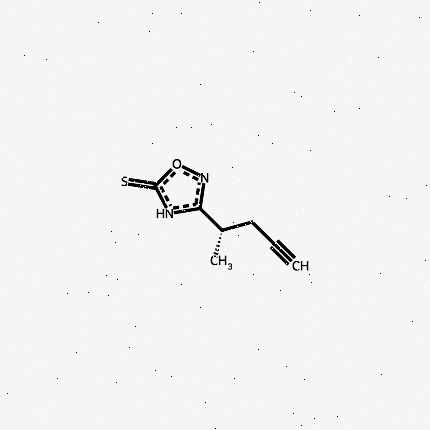 C#CC[C@H](C)c1noc(=S)[nH]1